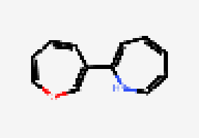 [C]1=C(C2=CC=CC=CN2)C=CC=CO1